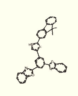 CC1(C)c2ccccc2-c2ccc(-c3nc(-c4cc(-c5nc6ccccc6o5)cc(-c5nc6ccccc6o5)c4)c[nH]3)cc21